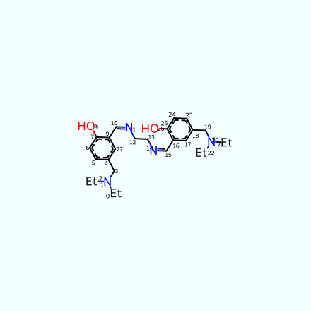 CCN(CC)Cc1ccc(O)c(/C=N\CC/N=C\c2cc(CN(CC)CC)ccc2O)c1